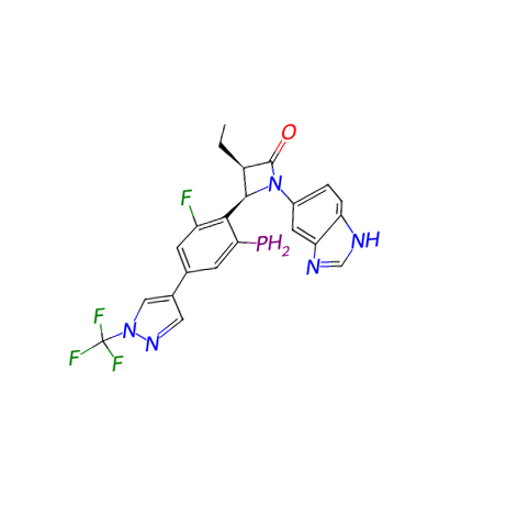 CC[C@H]1C(=O)N(c2ccc3[nH]cnc3c2)[C@H]1c1c(F)cc(-c2cnn(C(F)(F)F)c2)cc1P